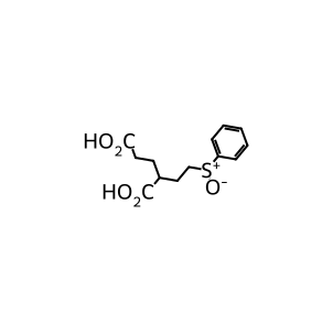 O=C(O)CCC(CC[S+]([O-])c1ccccc1)C(=O)O